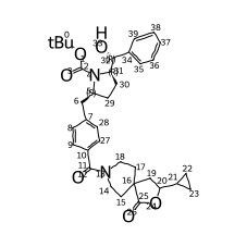 CC(C)(C)OC(=O)N1[C@H](Cc2ccc(C(=O)N3CCC4(CC3)CC(C3CC3)OC4=O)cc2)CC[C@@H]1[C@H](O)c1ccccc1